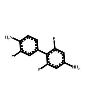 Nc1cc(F)c(-c2ccc(N)c(F)c2)c(F)c1